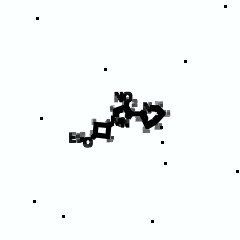 CCOC1CC(n2cc([N+](=O)[O-])c(-c3ccccn3)n2)C1